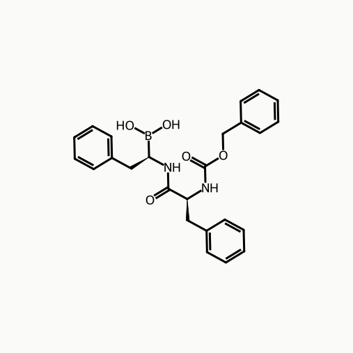 O=C(N[C@@H](Cc1ccccc1)C(=O)N[C@@H](Cc1ccccc1)B(O)O)OCc1ccccc1